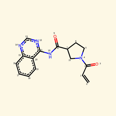 C=CC(=O)N1CCC(C(=O)Nc2ncnc3ccccc23)C1